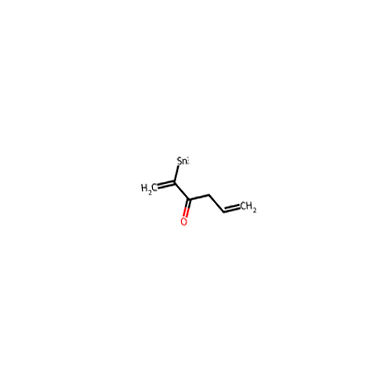 C=CCC(=O)[C](=C)[Sn]